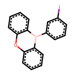 Ic1cccc(B2c3ccccc3Oc3ccccc32)c1